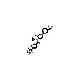 Cc1nnnn1-c1ccc(C(=O)N(C2CC2)[C@@H]2CCN(C3=CCC=C(C(F)(F)F)C=N3)C[C@@H]2F)cn1